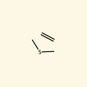 C=C.CSC